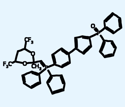 CC1(C=P(c2ccccc2)(c2ccccc2)c2ccc(-c3ccc(P(=O)(c4ccccc4)c4ccccc4)cc3)cc2)OC(C(F)(F)F)CC(C(F)(F)F)O1